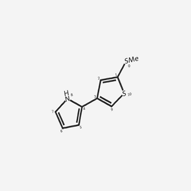 CSc1cc(-c2ccc[nH]2)cs1